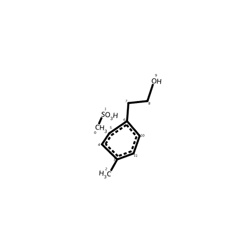 CS(=O)(=O)O.Cc1ccc(CCO)cc1